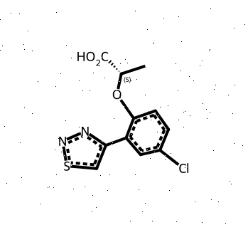 C[C@H](Oc1ccc(Cl)cc1-c1csnn1)C(=O)O